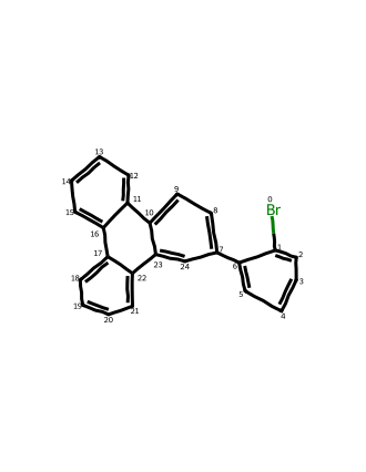 Brc1ccccc1-c1ccc2c3ccccc3c3ccccc3c2c1